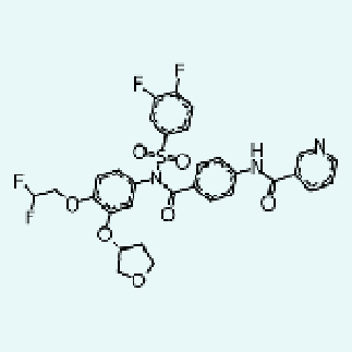 O=C(Nc1ccc(C(=O)N(c2ccc(OCC(F)F)c(O[C@@H]3CCOC3)c2)S(=O)(=O)c2ccc(F)c(F)c2)cc1)c1cccnc1